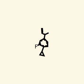 C=C[C](C)c1ccc(C2CC2)c(F)c1